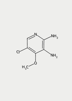 COc1c(Cl)cnc(N)c1N